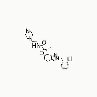 Cc1c(C(=O)NCCN2CCN(C)CC2)oc2c1-c1nn(Cc3ccccc3Cl)cc1CC2